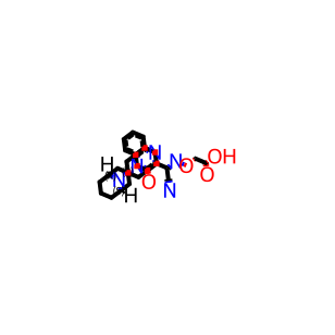 N#CC(=NOCC(=O)O)c1nc2ccccc2n([C@H]2C[C@H]3CCC[C@@H](C2)N3C2CC3CCCC(C3)C2)c1=O